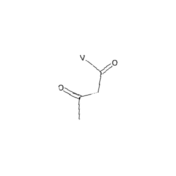 CC(=O)C[C](=O)[V]